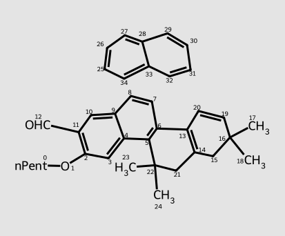 CCCCCOc1cc2c3c(ccc2cc1C=O)C1=C(CC(C)(C)C=C1)CC3(C)C.c1ccc2ccccc2c1